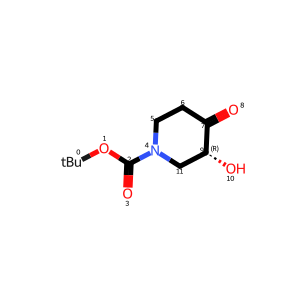 CC(C)(C)OC(=O)N1CCC(=O)[C@H](O)C1